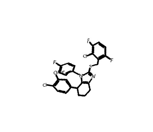 COc1cc(C2CCCc3nc(SCc4c(F)ccc(F)c4Cl)n(-c4ccc(F)cc4)c32)ccc1Cl